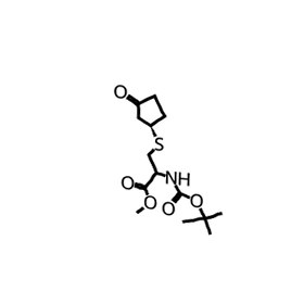 COC(=O)C(CS[C@@H]1CCC(=O)C1)NC(=O)OC(C)(C)C